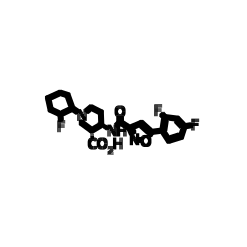 O=C(N[C@@H]1CCN(C2CCCCC2F)C[C@H]1C(=O)O)c1cc(-c2ccc(F)cc2F)on1